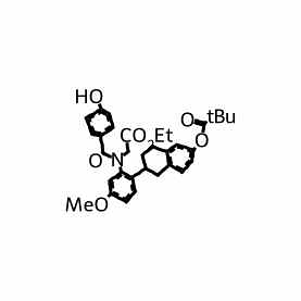 CCOC(=O)CN(C(=O)c1ccc(O)cc1)c1cc(OC)ccc1C1CCc2cc(OC(=O)C(C)(C)C)ccc2C1